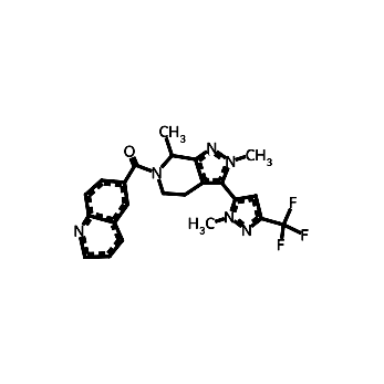 CC1c2nn(C)c(-c3cc(C(F)(F)F)nn3C)c2CCN1C(=O)c1ccc2ncccc2c1